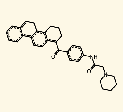 O=C(CN1CCCCC1)Nc1ccc(C(=O)C2=c3ccc4c(c3CCC2)CC=c2ccccc2=4)cc1